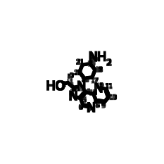 C[C@@H](O)c1nc2cnc3cccnc3c2n1C1CCC(N)CC1